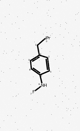 CC(C)Cc1ccc(NF)cc1